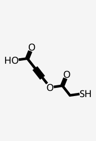 O=C(O)C#COC(=O)CS